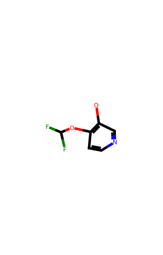 [O]c1cnccc1OC(F)F